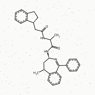 CC(NC(=O)CC1CCc2ccccc21)C(=O)N[C@@H]1CN(C)c2ccccc2C(c2ccccc2)=N1